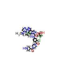 CN(C)c1ccnc(-n2ncc(-c3cnc(C(=O)Nc4ccc(C(=O)N5CCN(C(=O)C6CCNCC6)CC5)c(Cl)c4)n3C)c2C(F)(F)F)n1.O=C(O)C(F)(F)F